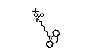 CC(C)(C)OC(=O)NCCCCCCN1c2ccccc2C=Cc2ccccc21